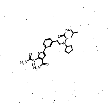 CC(C)C[C@@H](C(=O)O)N(CCc1cccc(-c2cc(C(N)=O)c(NC(N)=O)s2)c1)C1CCCC1